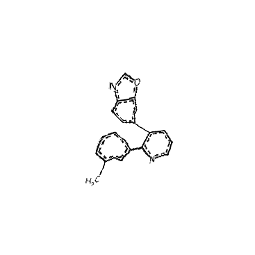 Cc1cccc(-c2ncccc2-c2ccc3ncoc3c2)c1